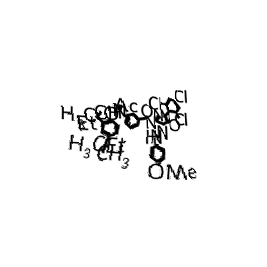 CCC(C)(C)c1ccc(ON(C(C)=O)c2cccc(C(=O)NC3=NN(c4c(Cl)cc(Cl)cc4Cl)C(=O)C3N=Nc3ccc(OC)cc3)c2)c(C(C)(C)CC)c1